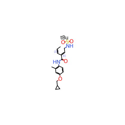 C/C=C\C(=C/CNS(=O)(=O)C(C)(C)C)C(=O)Nc1ccc(OCC2CC2)cc1C